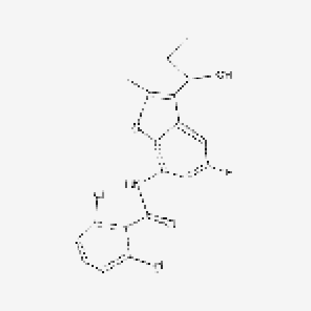 CCC(O)c1c(C)oc2c(NC(=O)c3c(Cl)cccc3Cl)cc(F)cc12